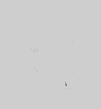 C[C@@H](C1CCN(C(=O)C2NCC(C(F)(F)F)CC2Cl)CC1)S(=O)(=O)c1cccc(C(F)(F)F)c1